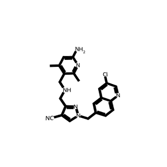 Cc1cc(N)nc(C)c1CNCc1nn(Cc2ccc3ncc(Cl)cc3c2)cc1C#N